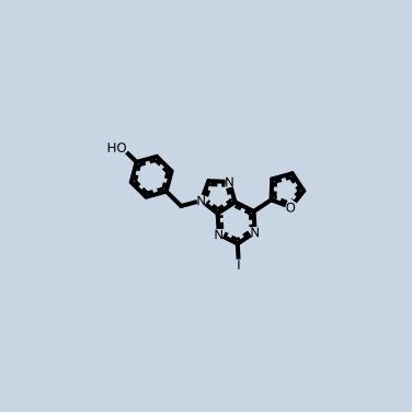 Oc1ccc(Cn2cnc3c(-c4ccco4)nc(I)nc32)cc1